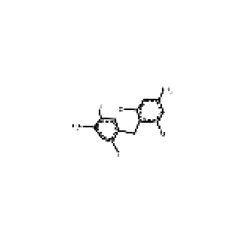 Nc1cc(Cl)c(Cc2cc(Cl)c(N)cc2Cl)c(Cl)c1